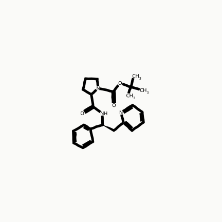 CC(C)(C)OC(=O)N1CCCC1C(=O)N[C@@H](Cc1ccccn1)c1ccccc1